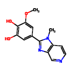 COc1cc(-c2nc3cnccc3n2C)cc(O)c1O